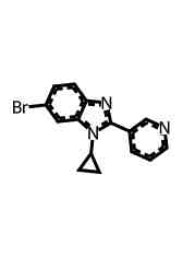 Brc1ccc2nc(-c3cccnc3)n(C3CC3)c2c1